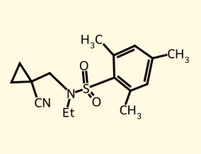 CCN(CC1(C#N)CC1)S(=O)(=O)c1c(C)cc(C)cc1C